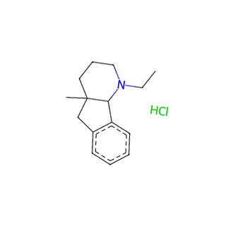 CCN1CCCC2(C)Cc3ccccc3C12.Cl